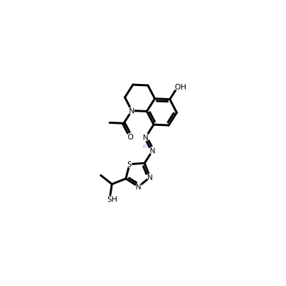 CC(=O)N1CCCc2c(O)ccc(/N=N/c3nnc(C(C)S)s3)c21